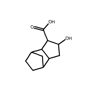 O=C(O)C1C(O)CC2C3CCC(C3)C21